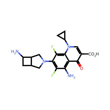 Nc1c(F)c(N2CC3CC(N)C3C2)c(F)c2c1c(=O)c(C(=O)O)cn2C1CC1